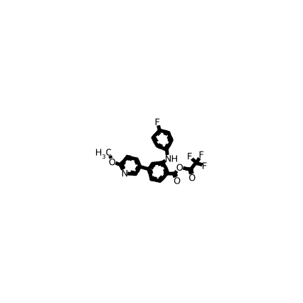 COc1ccc(-c2ccc(C(=O)OC(=O)C(F)(F)F)c(Nc3ccc(F)cc3)c2)cn1